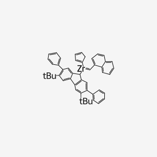 CC(C)(C)c1cc2c(cc1-c1ccccc1)[CH]([Zr](=[CH]c1cccc3ccccc13)[C]1=CC=CC1)c1cc(-c3ccccc3)c(C(C)(C)C)cc1-2